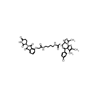 Cc1sc2c(c1C)C(c1ccc(Cl)cc1)=N[C@H](CC(=O)NCCCCNC(=O)COc1cccc3c1C(=O)N(C1CCC(=O)NC1=O)C3=O)c1nnc(C)n1-2